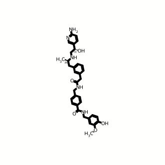 COc1cc(CNC(=O)c2ccc(CNC(=O)Cc3cccc(C[C@@H](C)NC[C@@H](O)c4ccc(N)nc4)c3)cc2)ccc1O